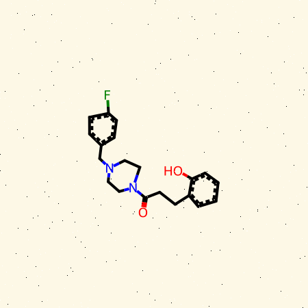 O=C(CCc1ccccc1O)N1CCN(Cc2ccc(F)cc2)CC1